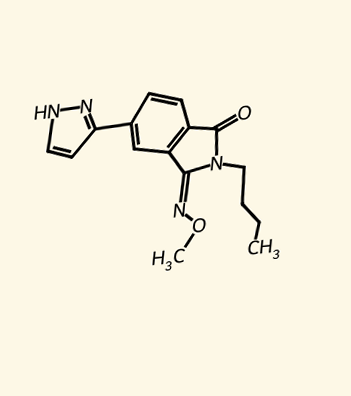 CCCCN1C(=O)c2ccc(-c3cc[nH]n3)cc2C1=NOC